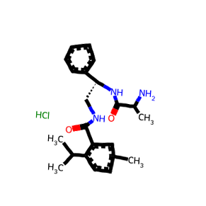 Cc1ccc(C(C)C)c(C(=O)NC[C@@H](NC(=O)C(C)N)c2ccccc2)c1.Cl